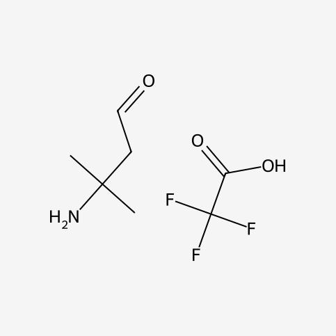 CC(C)(N)CC=O.O=C(O)C(F)(F)F